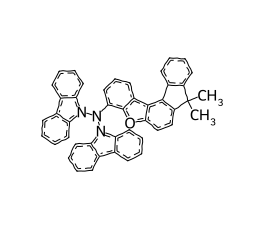 CC1(C)c2ccccc2-c2c1ccc1oc3c(N(n4c5ccccc5c5ccccc54)n4c5ccccc5c5ccccc54)cccc3c21